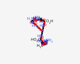 CN(Cc1cnc2nc(N)nc(N)c2n1)c1ccc(C(=O)NC(CCC(=O)NCCCCCN(CCCCCNC(=O)CCC(NC(=O)c2ccc(N(C)Cc3cnc4nc(N)nc(N)c4n3)cc2)C(=O)O)CCOCCOCCNC(=O)CCCN2C(=O)C=CC2=O)C(=O)O)cc1